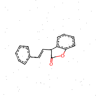 O=C1Oc2ccccc2C1/C=C/c1ccccc1